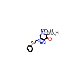 O=C(O)C1C(=O)c2ncn(CCSc3ccccc3)c2CN1C(=O)O